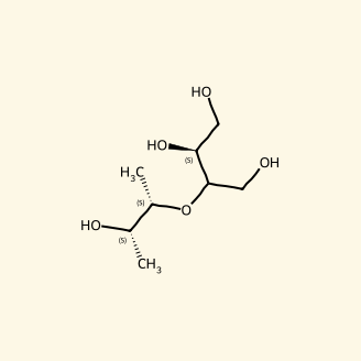 C[C@H](O)[C@H](C)OC(CO)[C@@H](O)CO